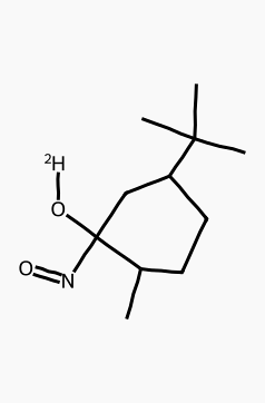 [2H]OC1(N=O)CC(C(C)(C)C)CCC1C